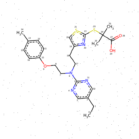 CCc1cnc(N(CCOc2ccc(C)cc2)CCc2csc(SC(C)(C)C(=O)O)n2)nc1